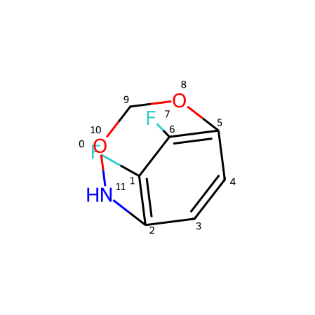 Fc1c2ccc(c1F)OCON2